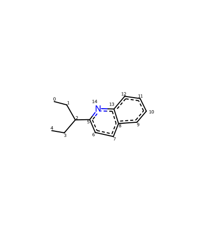 CCC(CC)c1ccc2ccccc2n1